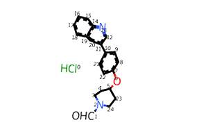 Cl.O=CN1CCC(Oc2ccc(-c3cnc4ccccc4c3)cc2)CC1